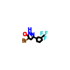 O=c1[nH]nc(-c2cccc(C(F)(F)F)c2)cc1Br